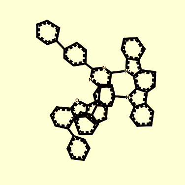 c1ccc(-c2ccc(-c3nc(-c4cccc5c4oc4cccc(-c6ccccc6)c45)nc(-n4c5ccccc5c5ccc6c7ccccc7n(-c7cccc(-c8ccccc8)c7)c6c54)n3)cc2)cc1